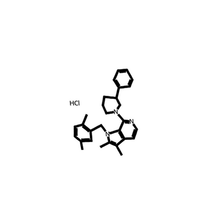 Cc1ccc(C)c(Cn2c(C)c(C)c3ccnc(N4CCCC(c5ccccc5)C4)c32)c1.Cl